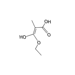 CCOC(O)=C(C)C(=O)O